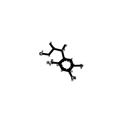 CC(CCl)N(C)c1cc(Br)c(C#N)cc1N